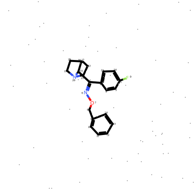 Fc1ccc(/C(=N\OCc2ccccc2)C2CC3CCN2CC3)cc1